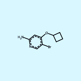 Nc1cc(OC2CCC2)c(Br)cn1